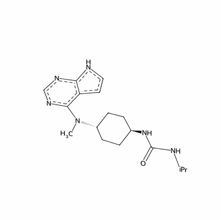 CC(C)NC(=O)N[C@H]1CC[C@H](N(C)c2ncnc3[nH]ccc23)CC1